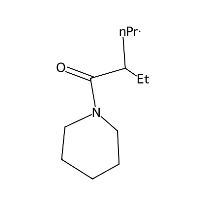 CC[CH]C(CC)C(=O)N1CCCCC1